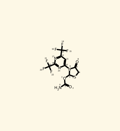 NC(=O)OC1SCC(=O)N1c1cc(C(F)(F)F)nc(C(F)(F)F)n1